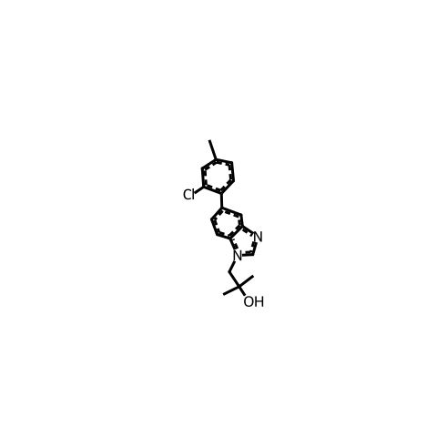 Cc1ccc(-c2ccc3c(c2)ncn3CC(C)(C)O)c(Cl)c1